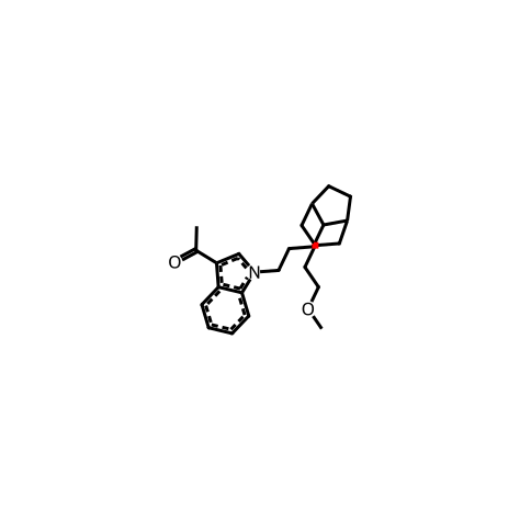 COCCC1CC2CCC(C1)C2CCCn1cc(C(C)=O)c2ccccc21